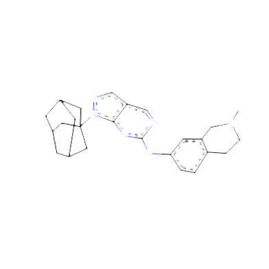 CN1CCc2ccc(Nc3ncc4cnn(C56CC7CC(CC(C7)C5)C6)c4n3)cc2C1